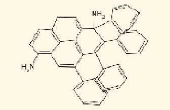 Nc1ccc2c3c4c(c(-c5ccccc5)cc13)C(c1ccccc1)=C(c1ccccc1)C(N)(c1ccccc1)C4=CC2